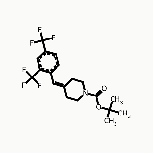 CC(C)(C)OC(=O)N1CCC(=Cc2ccc(C(F)(F)F)cc2C(F)(F)F)CC1